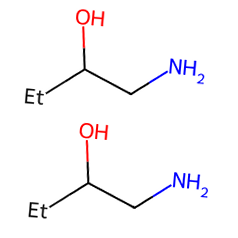 CCC(O)CN.CCC(O)CN